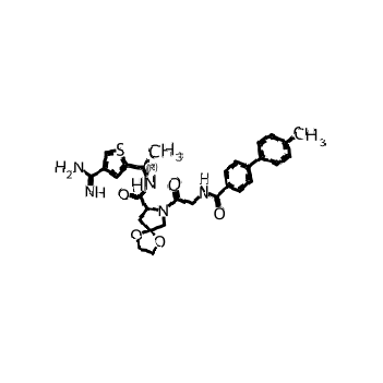 Cc1ccc(-c2ccc(C(=O)NCC(=O)N3CC4(CC3C(=O)N[C@H](C)c3cc(C(=N)N)cs3)OCCO4)cc2)cc1